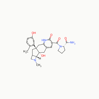 Cc1ccc(O)cc1[C@@]12Cc3[nH]c(=O)c(C(=O)N4CCC[C@H]4C(N)=O)cc3C[C@@]1(O)[C@H]1C(CN1C)C2